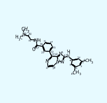 Cc1cc(C)cc(Nc2nc3c(-c4cccc(C(=O)NCCN(C)C)c4)nccn3n2)c1